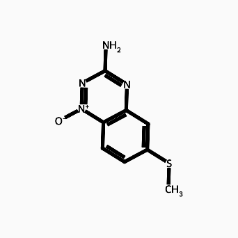 CSc1ccc2c(c1)nc(N)n[n+]2[O-]